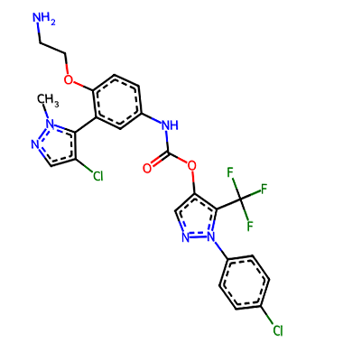 Cn1ncc(Cl)c1-c1cc(NC(=O)Oc2cnn(-c3ccc(Cl)cc3)c2C(F)(F)F)ccc1OCCN